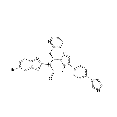 Cn1c(-c2ccc(-n3ccnc3)cc2)cnc1[C@H](Cc1ccccn1)N(C=O)c1cc2cc(Br)ccc2o1